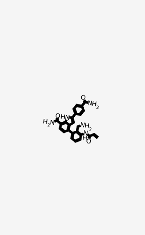 C=CC(=O)Nc1cccc(-c2ccc(C(N)=O)c3[nH]c(-c4ccc(C(N)=O)cc4)cc23)c1CN